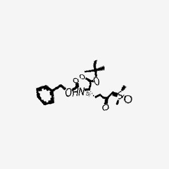 CC(C)(C)OC(=O)[C@H](CCC(=O)C=S(C)(C)=O)NC(=O)OCc1ccccc1